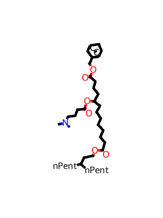 CCCCCC(CCCCC)CCOC(=O)CCCCCCCC(CCCC(=O)OCC1CC2CCC1CC2)OC(=O)CCCN(C)C